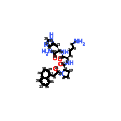 NCCCC[C@H](NC(=O)[C@@H]1CCCN1C(=O)Cc1cccc2ccccc12)C(=O)N[C@@H](Cc1cnc[nH]1)C(N)=O